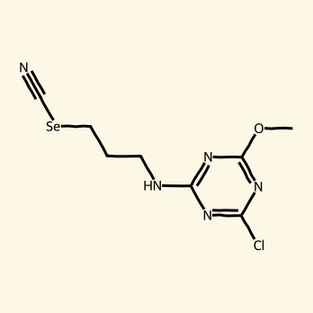 COc1nc(Cl)nc(NCCC[Se]C#N)n1